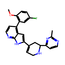 COc1ccc(F)cc1-c1ccnc2[nH]c(C3=CCNC(c4ccnc(C)n4)C3)cc12